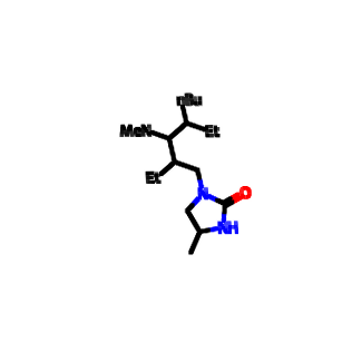 CCCCC(CC)C(NC)C(CC)CN1CC(C)NC1=O